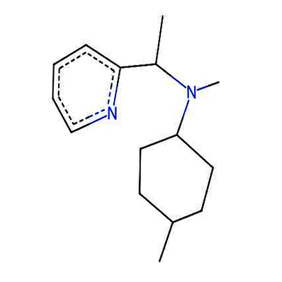 CC1CCC(N(C)C(C)c2ccccn2)CC1